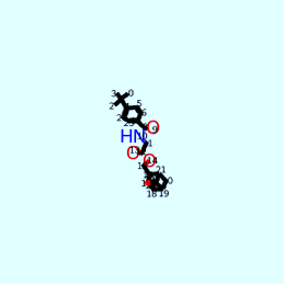 CC(C)(C)c1ccc(C(=O)NCC(=O)OCC2CCC3CC2C3(C)C)cc1